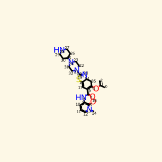 CC(C)OC1=C(C(=O)Nc2cccn(C)c2=O)C=C2SC(N3CCN(C4CCNCC4)CC3)=NC2C1